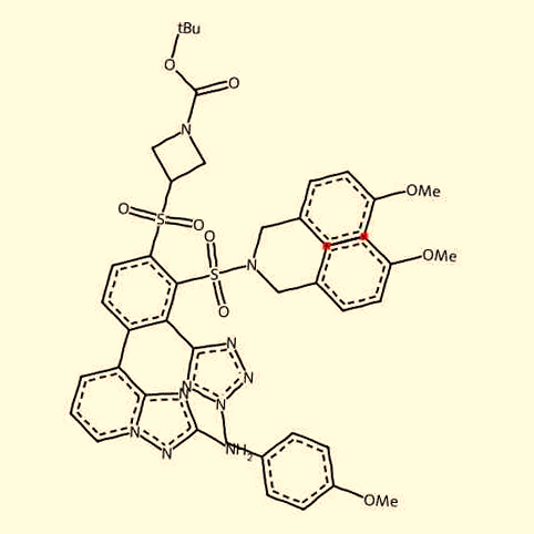 COc1ccc(CN(Cc2ccc(OC)cc2)S(=O)(=O)c2c(S(=O)(=O)C3CN(C(=O)OC(C)(C)C)C3)ccc(-c3cccn4nc(N)nc34)c2-c2nnn(Cc3ccc(OC)cc3)n2)cc1